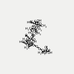 C=C(CC1CCCO1)C(=O)OC(CCCO)=C(C)C(=O)O.C=C(CC1CO1)C(=O)OC(CC1CCCO1)=C(C)C(=O)O.C=C(CCO)C(=O)OC(CO)=C(C)C(=O)OC.C=C(OCCOCCOCCO)C(=O)OC(CC1CO1)=C(C)C(=O)O.C=CC(=O)OCC(O)C(CCCO)=C(C)C(=O)O